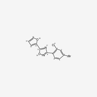 Clc1cc(Br)ccc1-c1noc(-c2ccco2)n1